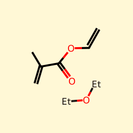 C=COC(=O)C(=C)C.CCOCC